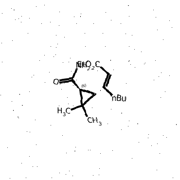 CC1(C)C[C@@H]1C(N)=O.CCCCC=CC(=O)OCC